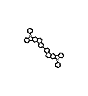 c1ccc(-n2c3ccccc3c3cc4c(ccc5cc(-c6ccc7c(ccc8cc9c(cc87)c7ccccc7n9-c7ccccc7)c6)ccc54)cc32)cc1